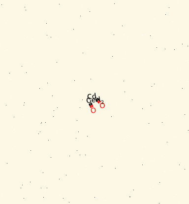 [O]=[Cd].[O]=[GeH2]